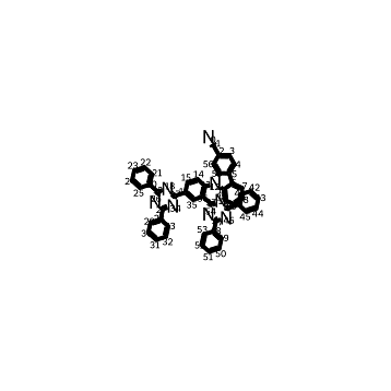 N#Cc1ccc2c3ccccc3n(-c3ccc(-c4nc(-c5ccccc5)nc(-c5ccccc5)n4)cc3-c3nc(-c4ccccc4)nc(-c4ccccc4)n3)c2c1